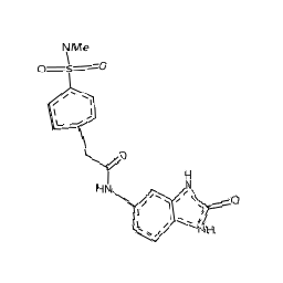 CNS(=O)(=O)c1ccc(CC(=O)Nc2ccc3[nH]c(=O)[nH]c3c2)cc1